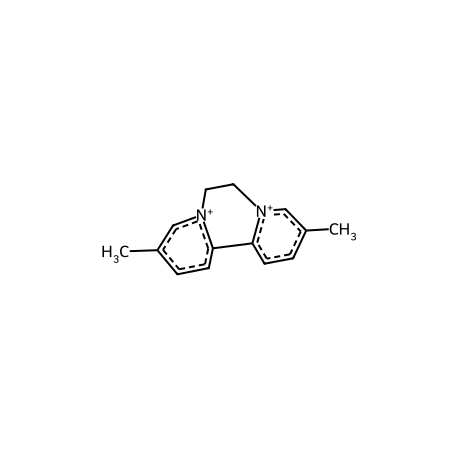 Cc1ccc2[n+](c1)CC[n+]1cc(C)ccc1-2